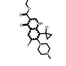 CCOC(=O)c1c[nH]c2c(C3(Cl)CC3)c(N3CCN(C)CC3)c(F)cc2c1=O